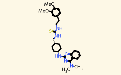 COc1ccc(CCNC(=S)NC[C@H]2CC[C@@H](Nc3nc(N(C)C)c4ccccc4n3)CC2)cc1OC